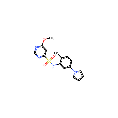 COc1cc(S(=O)(=O)Nc2cc(-n3cccc3)ccc2C)ncn1